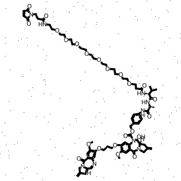 C=C1C[C@H]2C=Nc3cc(OCCCOc4cc5c(cc4OC)C(=O)N4CC(=C)C[C@H]4[C@H](O)N5C(=O)OCc4ccc(NC(=O)[C@H](C)NC(=O)[C@@H](NC(=O)CCOCCOCCOCCOCCOCCOCCOCCOCCNC(=O)CCN5C(=O)C=CC5=O)C(C)C)cc4)c(OC)cc3C(=O)N2C1